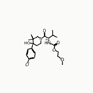 COCCOC(=O)N[C@@H](C(=O)N1CCC(O)(c2ccc(Cl)cc2)C(C)(C)C1)C(C)C